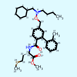 CCCCN(CC1CCCCC1)OCc1ccc(C(=O)N[C@@H](CCSC)C(=O)OC)c(-c2ccccc2C)c1